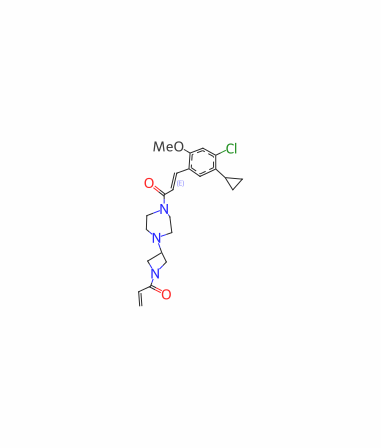 C=CC(=O)N1CC(N2CCN(C(=O)/C=C/c3cc(C4CC4)c(Cl)cc3OC)CC2)C1